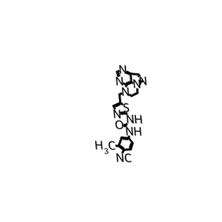 Cc1cc(NC(=O)Nc2ncc(CN3CCn4ncc5ncnc3c54)s2)ccc1C#N